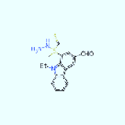 CCn1c2ccccc2c2cc(C=O)cc(S(C)(C=S)NN)c21